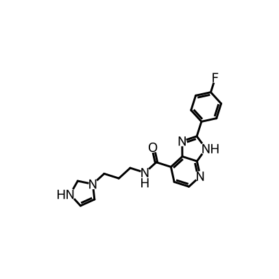 O=C(NCCCN1C=CNC1)c1ccnc2[nH]c(-c3ccc(F)cc3)nc12